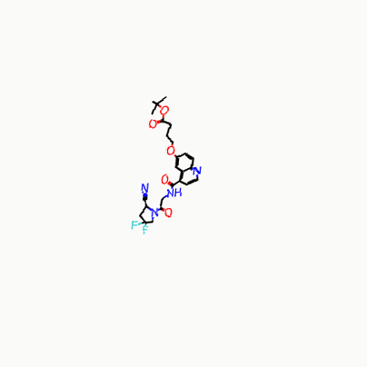 CC(C)(C)OC(=O)CCCOc1ccc2nccc(C(=O)NCC(=O)N3CC(F)(F)CC3C#N)c2c1